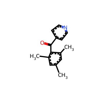 Cc1cc(C)c(C(=O)c2ccncc2)c(C)c1